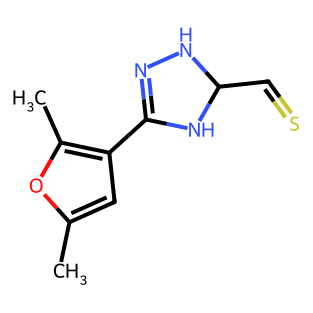 Cc1cc(C2=NNC(C=S)N2)c(C)o1